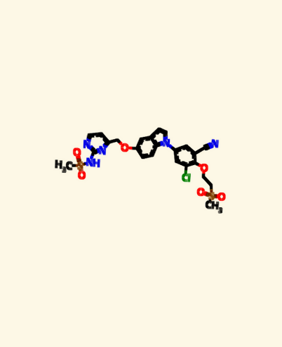 CS(=O)(=O)CCOc1c(Cl)cc(-n2ccc3cc(OCc4ccnc(NS(C)(=O)=O)n4)ccc32)cc1C#N